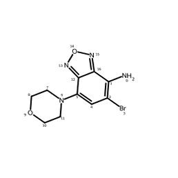 Nc1c(Br)cc(N2CCOCC2)c2nonc12